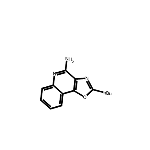 CCCCc1nc2c(N)nc3ccccc3c2o1